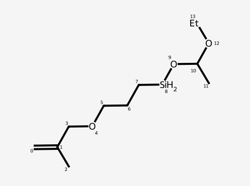 C=C(C)COCCC[SiH2]OC(C)OCC